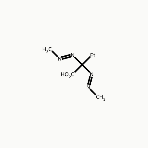 CCC(N=NC)(N=NC)C(=O)O